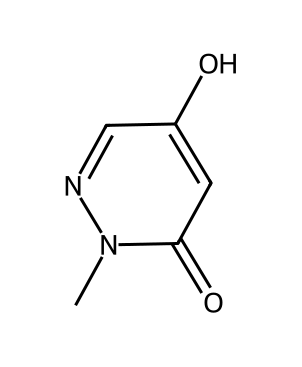 Cn1ncc(O)cc1=O